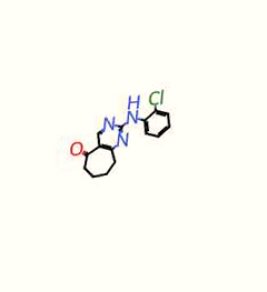 O=C1CCCCc2nc(Nc3ccccc3Cl)ncc21